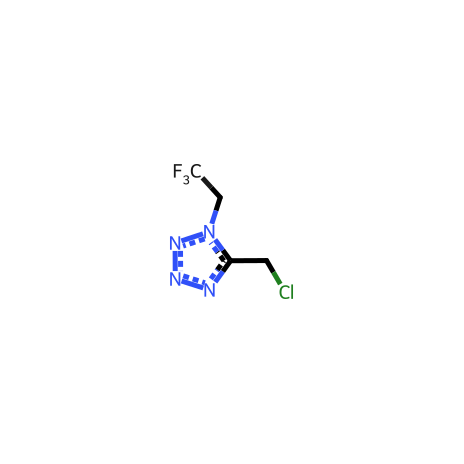 FC(F)(F)Cn1nnnc1CCl